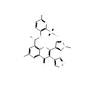 Cc1cc([C@@H](C)Nc2ccc(Cl)nc2S(N)(=O)=O)c2oc(-c3cnn(C)c3)c(-c3cnoc3)c(=O)c2c1